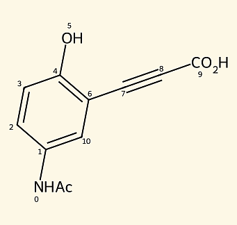 CC(=O)Nc1ccc(O)c(C#CC(=O)O)c1